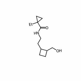 CCC1(C(=O)NCCC2CCC2CO)CC1